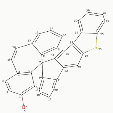 Brc1ccc2c(c1)C1(c3ccccc3C=C2)c2ccccc2-c2cc3sc4ccccc4c3cc21